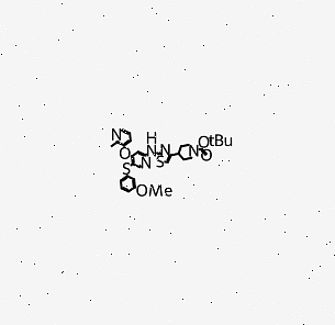 COc1cccc(Sc2cnc(Nc3nc(C4CCN(C(=O)OC(C)(C)C)CC4)cs3)cc2Oc2cccnc2C)c1